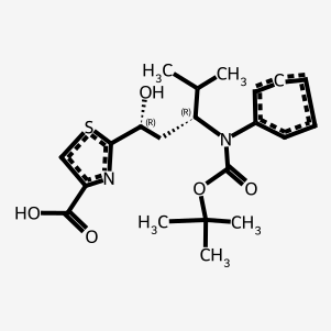 CC(C)[C@@H](C[C@@H](O)c1nc(C(=O)O)cs1)N(C(=O)OC(C)(C)C)c1ccccc1